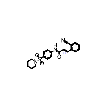 N#Cc1ccccc1/C=C/C(=O)Nc1ccc(S(=O)(=O)N2CCCCC2)cc1